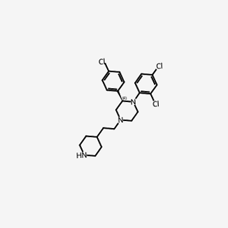 Clc1ccc([C@@H]2CN(CCC3CCNCC3)CCN2c2ccc(Cl)cc2Cl)cc1